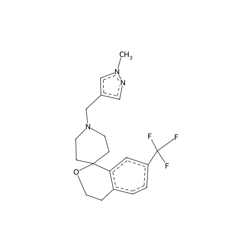 Cn1cc(CN2CCC3(CC2)OCCc2ccc(C(F)(F)F)cc23)cn1